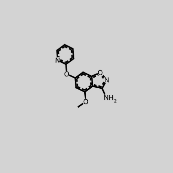 COc1cc(Oc2ccccn2)cc2onc(N)c12